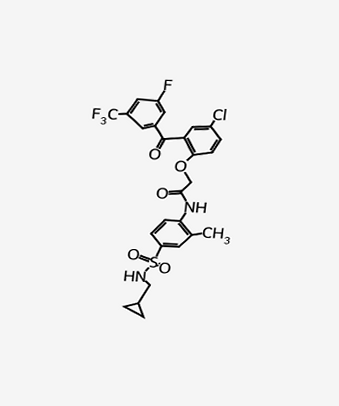 Cc1cc(S(=O)(=O)NCC2CC2)ccc1NC(=O)COc1ccc(Cl)cc1C(=O)c1cc(F)cc(C(F)(F)F)c1